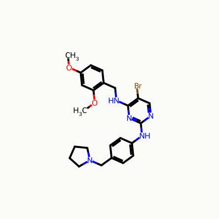 COc1ccc(CNc2nc(Nc3ccc(CN4CCCC4)cc3)ncc2Br)c(OC)c1